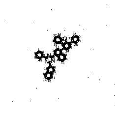 c1ccc(-c2nc(-c3ccc4ccccc4c3)nc(-c3ccc(-c4ccc(-c5ccccc5)c5oc6ccccc6c45)c4ccccc34)n2)cc1